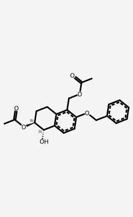 CC(=O)OCc1c(OCc2ccccc2)ccc2c1CC[C@H](OC(C)=O)[C@H]2O